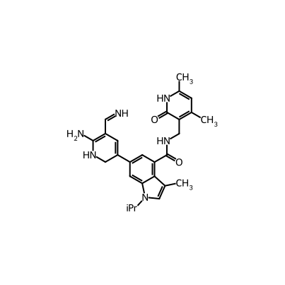 Cc1cc(C)c(CNC(=O)c2cc(C3=CC(C=N)=C(N)NC3)cc3c2c(C)cn3C(C)C)c(=O)[nH]1